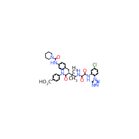 CC(C)(CNC(=O)C(=O)Nc1cc(Cl)ccc1-n1cnnn1)[C@H](Cc1ccc(NC(=O)N2CCCCC2)cc1)C(=O)Nc1ccc(C(=O)O)cc1